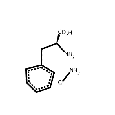 NCl.N[C@@H](Cc1ccccc1)C(=O)O